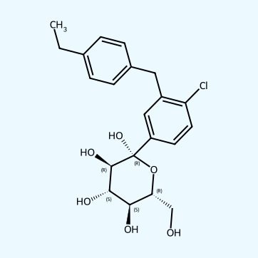 CCc1ccc(Cc2cc([C@@]3(O)O[C@H](CO)[C@@H](O)[C@H](O)[C@H]3O)ccc2Cl)cc1